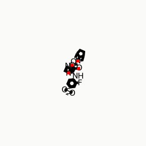 Cc1c(Nc2ccc(S(C)(=O)=O)cc2F)ncnc1OCC1C2CCC1CN(C(=O)OC1(C)CCC1)C2